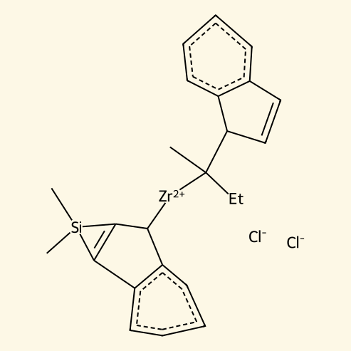 CC[C](C)([Zr+2][CH]1C2=C(c3ccccc31)[Si]2(C)C)C1C=Cc2ccccc21.[Cl-].[Cl-]